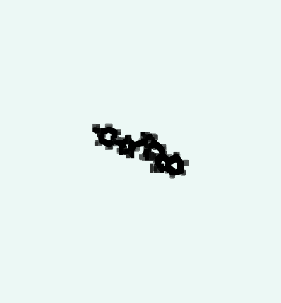 CCCCn1c(Cc2c[nH]c3ccccc23)nnc1-c1nnc(N2CCN(C)CC2)s1